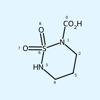 O=C(O)N1CCCNS1(=O)=O